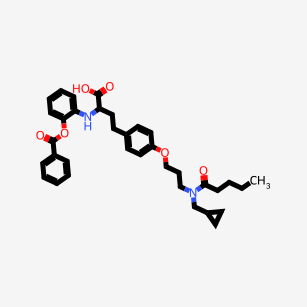 CCCCC(=O)N(CCCOc1ccc(CCC(Nc2ccccc2OC(=O)c2ccccc2)C(=O)O)cc1)CC1CC1